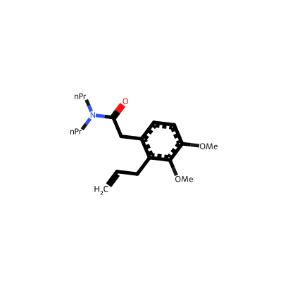 C=CCc1c(CC(=O)N(CCC)CCC)ccc(OC)c1OC